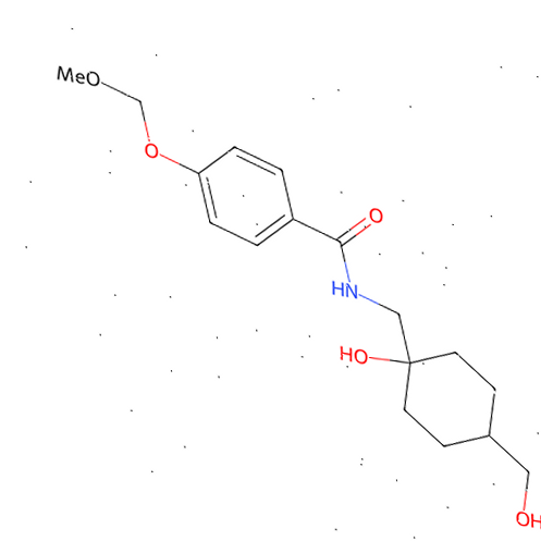 COCOc1ccc(C(=O)NCC2(O)CCC(CO)CC2)cc1